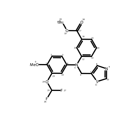 COc1ccc(N(Cc2cncs2)c2cccc(C(=O)OC(C)(C)C)c2)cc1OC(F)F